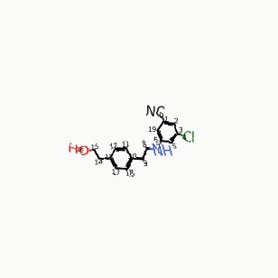 N#Cc1cc(Cl)cc(NCCc2ccc(CCO)cc2)c1